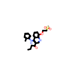 CCCC(=O)c1cnc2c(OCCS(C)(=O)=O)cccc2c1Nc1ccccc1C